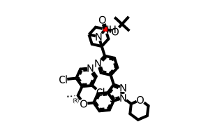 C[C@@H](Oc1ccc2c(c1)c(-c1ccc(C34CNCC(C3)N4C(=O)OC(C)(C)C)nc1)nn2C1CCCCO1)c1c(Cl)cncc1Cl